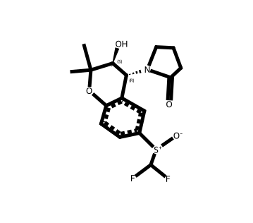 CC1(C)Oc2ccc([S+]([O-])C(F)F)cc2[C@@H](N2CCCC2=O)[C@@H]1O